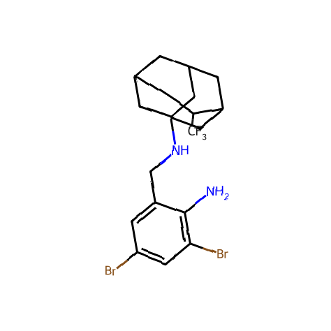 Nc1c(Br)cc(Br)cc1CNC12CC3CC(C1)C(C(F)(F)F)C(C3)C2